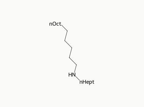 CCCCCCCCCCCCCNCCCCCCC